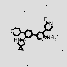 Nc1ncc(-c2ccc(C3CCOCC3)c([C@H]3CC4(CC4)CN3)c2)cc1-c1ccnc(F)c1